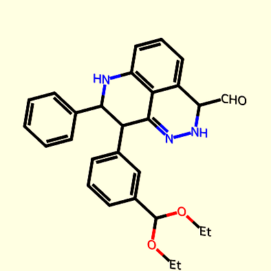 CCOC(OCC)c1cccc(C2C3=NNC(C=O)c4cccc(c43)NC2c2ccccc2)c1